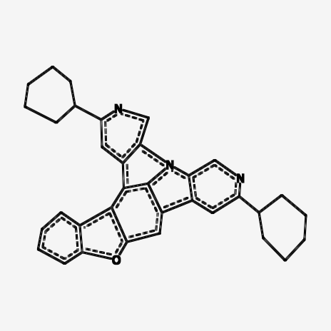 c1ccc2c(c1)oc1cc3c4cc(C5CCCCC5)ncc4n4c5cnc(C6CCCCC6)cc5c(c12)c34